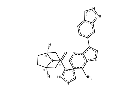 Nc1cc([C@@H]2C[C@H]3CC[C@@H](C2)N3C(=O)c2ncn[nH]2)nc2c(-c3ccc4cn[nH]c4c3)cnn12